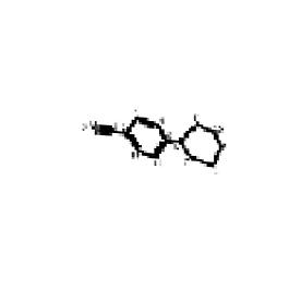 N#Cc1ccc([C]2CCCCC2)cc1